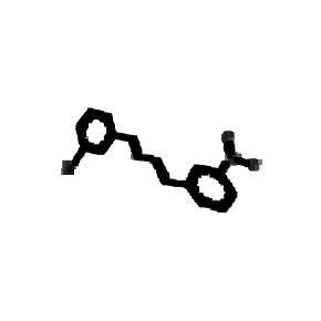 O=[N+]([O-])c1cccc(C=C[C]=Cc2cccc(Br)c2)c1